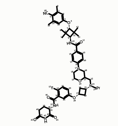 Cc1cc(O[C@H]2C(C)(C)[C@H](NC(=O)c3ccc(N4CCOC(CN(C(C)C)[C@H]5C[C@@H](Oc6ccc(F)c(C(=O)N[C@H]7CCC(=O)NC7=O)c6)C5)C4)cc3)C2(C)C)cc(C)c1C#N